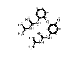 N=C(N)NC(=N)Nc1ccc(Cl)cc1.N=C(N)NC(=N)Nc1ccccc1Cl